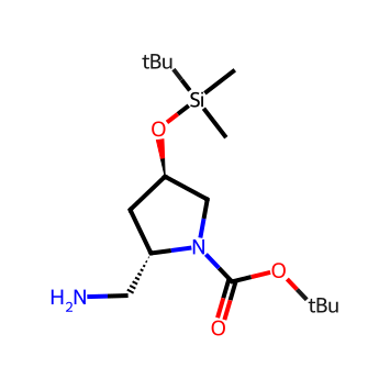 CC(C)(C)OC(=O)N1C[C@H](O[Si](C)(C)C(C)(C)C)C[C@H]1CN